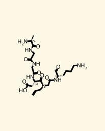 C=CCN(CC(=O)N[C@H]([C]=O)CCCCN)C(=O)[C@H](CC(=O)O)NC(=O)CNC(=O)CNC(=O)[C@H](C)N